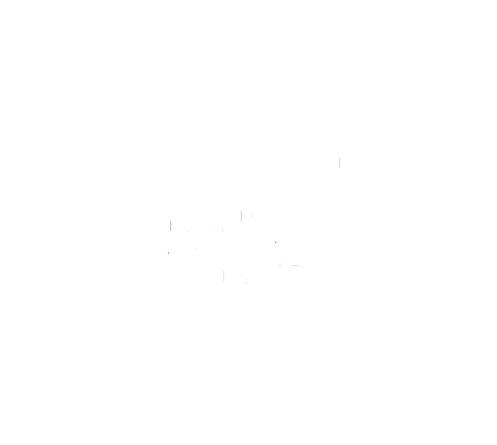 CCCCC(C)(C)C(=O)OC(C)(C)C